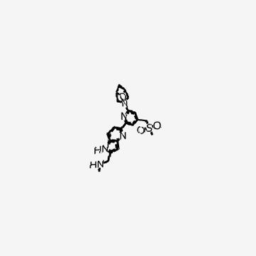 CNCc1cc2nc(-c3cc(CS(C)(=O)=O)cc(N4CC5CC(C4)O5)n3)ccc2[nH]1